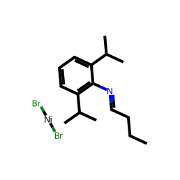 CCCC=Nc1c(C(C)C)cccc1C(C)C.[Br][Ni][Br]